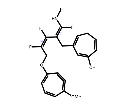 COC1=C=CC(OC/C(F)=C(F)\C(CC2=CCC=CC(O)=C2)=C(\F)NF)=CC=C1